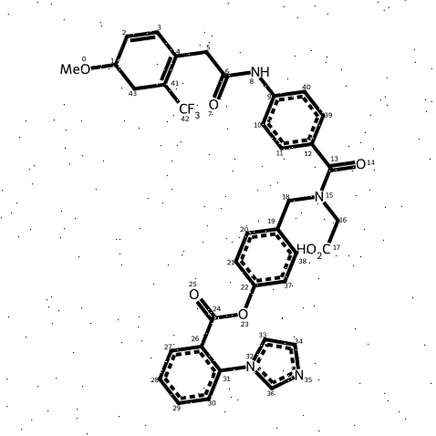 COC1C=CC(CC(=O)Nc2ccc(C(=O)N(CC(=O)O)Cc3ccc(OC(=O)c4ccccc4-n4ccnc4)cc3)cc2)=C(C(F)(F)F)C1